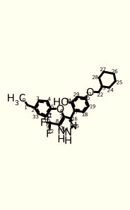 CCc1ccc(OC2=C(C(F)(F)F)NNN=C2c2ccc(OCC3CCCCC3)cc2O)cc1